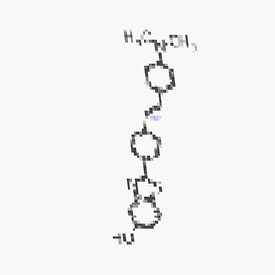 CN(C)c1ccc(/C=C/c2ccc(-c3nc4cc(O)ccc4s3)cc2)cc1